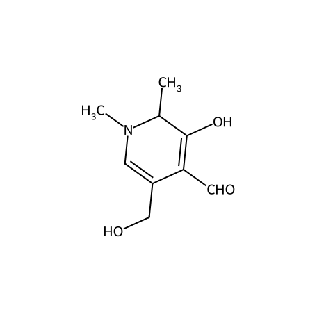 CC1C(O)=C(C=O)C(CO)=CN1C